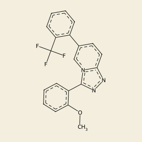 COc1ccccc1-c1nnc2ccc(-c3ccccc3C(F)(F)F)cn12